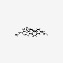 CC1C(PP)OC2CC3C4CC=C5CC(PP)CCC5(C)C4CCC3(C)C21